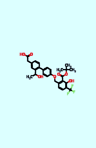 CC(O)c1cc(CC(=O)O)ccc1-c1ccc(OCc2ccc(C(F)(F)F)c(O)c2C(=O)OC(C)(C)C)cc1